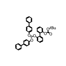 CC(C)(C)OC(=O)Oc1ccccc1-c1ccccc1OP(Oc1ccc(-c2ccccc2)cc1)Oc1ccc(-c2ccccc2)cc1